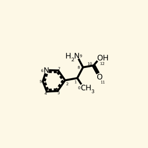 CC(c1cccnc1)C(N)C(=O)O